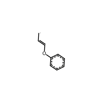 [CH2]/C=C/Oc1ccccc1